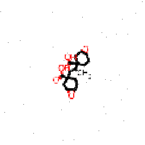 CC(CC1(C(=O)O)CCC2OC2C1)C1(C(=O)O)CCC2OC2C1